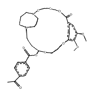 COc1cc2cc(c1OC)OCCCC(OC(=O)c1ccc(C(C)=O)cc1)CCN1CCCN(CCCOC2=O)CC1